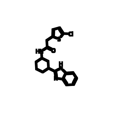 O=C(Cc1ccc(Cl)s1)NC1CCCC(c2nc3ccccc3[nH]2)C1